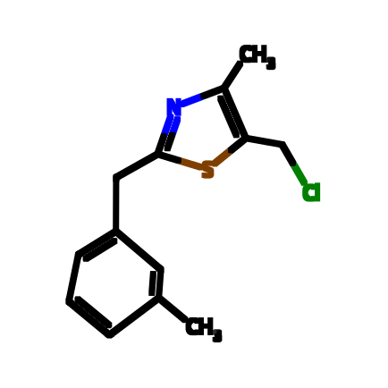 Cc1cccc(Cc2nc(C)c(CCl)s2)c1